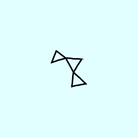 [CH]1C2(CC2)C12CC2